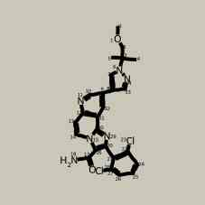 COCC(C)(C)n1cc(-c2cnc3ccn4c(C(N)=O)c(-c5c(Cl)cccc5Cl)nc4c3c2)cn1